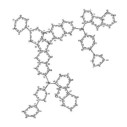 c1ccc(-c2ccc(N(c3ccc4cc5c6cc(-c7ccccc7)cc7c8cc9ccc(N(c%10ccc(-c%11ccccc%11)cc%10)c%10cccc%11c%10oc%10ccccc%10%11)cc9cc8n(c5cc4c3)c67)c3cccc4c3oc3ccccc34)cc2)cc1